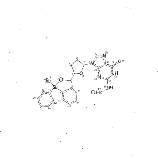 CC(C)(C)[Si](OCC1[CH]CC(n2cnc3c(=O)[nH]c(NC=O)nc32)O1)(c1ccccc1)c1ccccc1